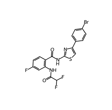 O=C(Nc1nc(-c2ccc(Br)cc2)cs1)c1ccc(F)cc1NC(=O)C(F)F